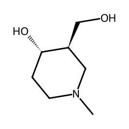 CN1CC[C@H](O)[C@@H](CO)C1